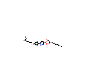 CCCCCCCCC1COC(c2ccc(-c3ccc(OCCCC[C@@H](C)CC)cc3)nc2)OC1